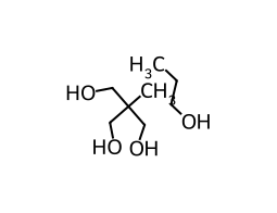 CC(CO)(CO)CO.CCCO